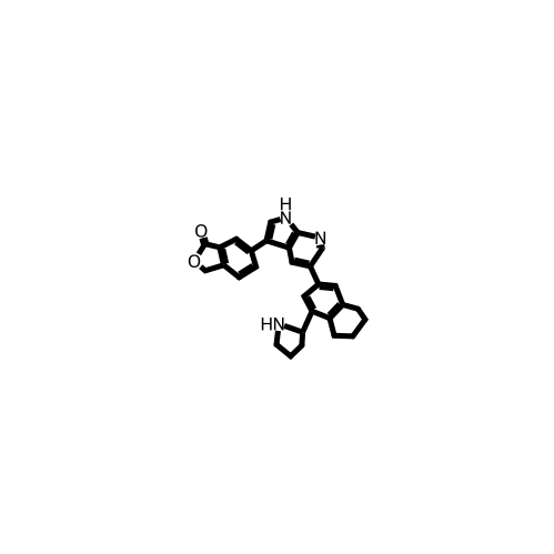 O=C1OCc2ccc(-c3c[nH]c4ncc(-c5cc6c(c(C7CCCN7)c5)CCCC6)cc34)cc21